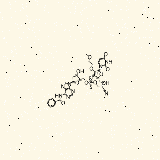 COCCO[C@@H]1[C@H](O[P@](=S)(OCCC#N)OC[C@H]2O[C@@H](n3cnc4c(NC(=O)c5ccccc5)ncnc43)C[C@@H]2O)[C@@H](CO)O[C@H]1n1ccc(=O)[nH]c1=O